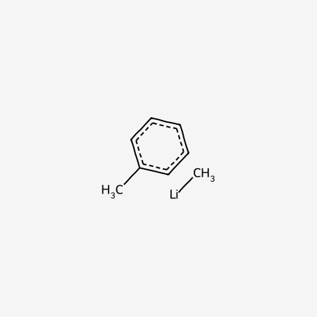 Cc1ccccc1.[Li][CH3]